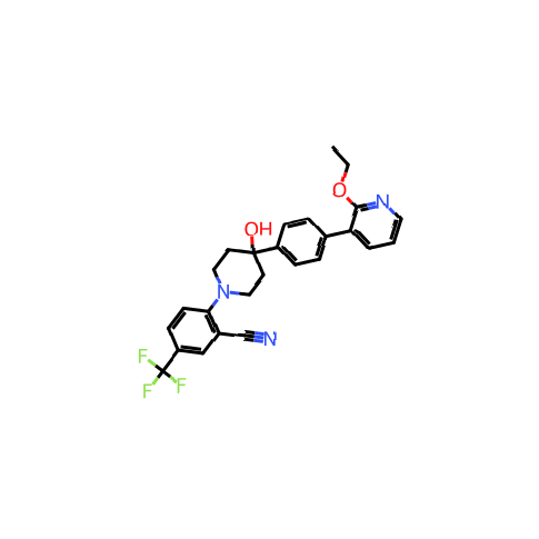 CCOc1ncccc1-c1ccc(C2(O)CCN(c3ccc(C(F)(F)F)cc3C#N)CC2)cc1